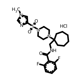 Cl.Cn1cnc(S(=O)(=O)N2CCN(C3(CNC(=O)c4c(F)cccc4F)CCCCCC3)CC2)c1